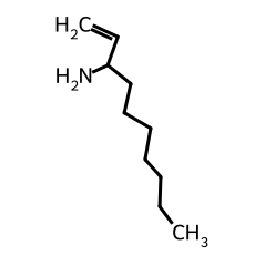 C=CC(N)CCCCCCC